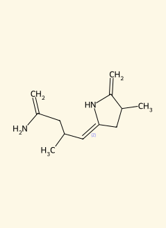 C=C(N)CC(C)/C=C1/CC(C)C(=C)N1